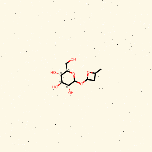 CC1CC(OC2O[C@H](CO)[C@@H](O)[C@H](O)[C@H]2O)O1